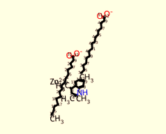 CC1CC(C)(C)Nc2ccccc21.CCCCCCCCCCCCCCCCCC(=O)[O-].CCCCCCCCCCCCCCCCCC(=O)[O-].[Zn+2]